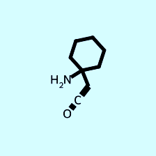 NC1(C=C=O)CCCCC1